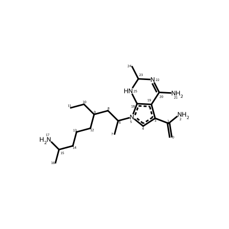 C=C(N)c1cn(C(C)CC(CC)CCCC(C)N)c2c1C(N)=NC(C)N2